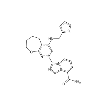 NC(=O)c1cccn2c(-c3nc(NCc4cccs4)c4c(n3)OCCCC4)ncc12